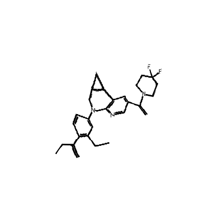 C=C(CC)c1ccc(N2CC3CC3c3cc(C(=C)N4CCC(F)(F)CC4)cnc32)cc1CC